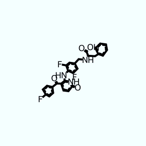 O=C(c1ccc(F)cc1)c1ccc(=O)[nH]c1Nc1c(F)cc(CNC(Cc2ccccc2)C(=O)O)cc1F